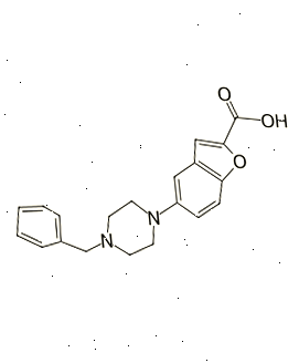 O=C(O)c1cc2cc(N3CCN(Cc4ccccc4)CC3)ccc2o1